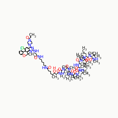 C=CC(=O)N1CCN(c2nc(NCCC(=O)NCCCCCCNC(=O)CCC[C@@H](C)[C@@H](O)CC(=O)N[C@@H](CC)C(=O)N(C)CC(=O)N(C)[C@@H](CC(C)C)C(=O)N[C@H](C(=O)N(C)[C@@H](CC(C)C)C(=O)N[C@@H](C)C(=O)N[C@H](C)C(=O)N(C)[C@@H](CC(C)C)C(=O)N(C)[C@@H](CC(C)C)C(=O)N(C)[C@H](C(=O)NC)C(C)C)C(C)C)nc3c4c(c(Cl)cc23)-c2c(F)cccc2OCC4=C)CC1